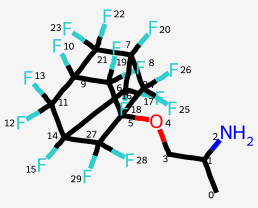 CC(N)COC12C(F)(F)C3(F)C(F)(F)C(F)(C(F)(F)C(F)(C3(F)F)C1(F)F)C2(F)F